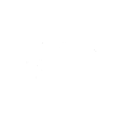 CC1(C)OB(c2ccc(Oc3ccc(C#N)cc3)cc2CBr)OC1(C)C